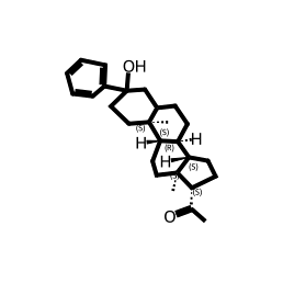 CC(=O)[C@H]1CC[C@H]2[C@@H]3CCC4CC(O)(c5ccccc5)CC[C@]4(C)[C@H]3CC[C@]12C